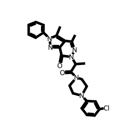 Cc1nn(C(C)C(=O)N2CCN(c3cccc(Cl)c3)CC2)c(=O)c2nn(-c3ccccc3)c(C)c12